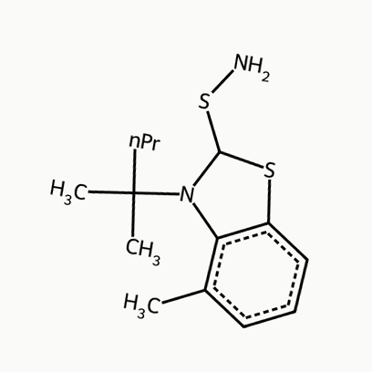 CCCC(C)(C)N1c2c(C)cccc2SC1SN